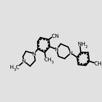 Cc1ccc(N2CCN(c3c(C#N)ccc(N4CCN(C)CC4)c3C)CC2)c(N)c1